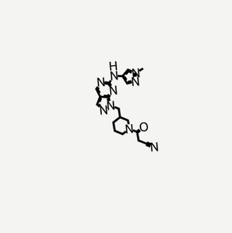 Cn1cc(Nc2ncc3cnn(CC4CCCN(C(=O)CC#N)C4)c3n2)cn1